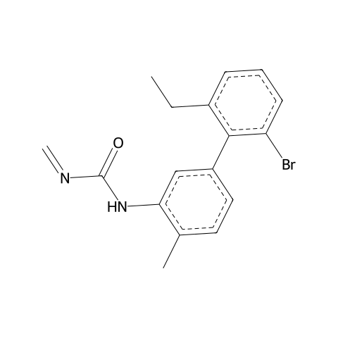 C=NC(=O)Nc1cc(-c2c(Br)cccc2CC)ccc1C